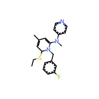 CCSC1C=C(C)C=C(N(C)c2ccncc2)N1Cc1cccc(F)c1